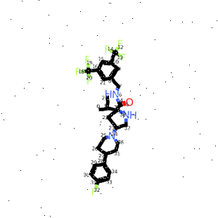 CC(C)C1(C(=O)NCc2cc(C(F)(F)F)cc(C(F)(F)F)c2)CC(N2CCC(c3ccc(F)cc3)CC2)CN1